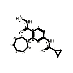 NNC(=O)c1ccc(NC(=O)C2CC2)cc1N1CCCCCC1